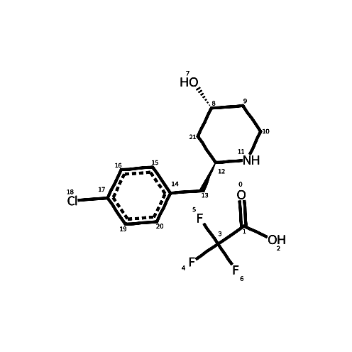 O=C(O)C(F)(F)F.O[C@@H]1CCN[C@@H](Cc2ccc(Cl)cc2)C1